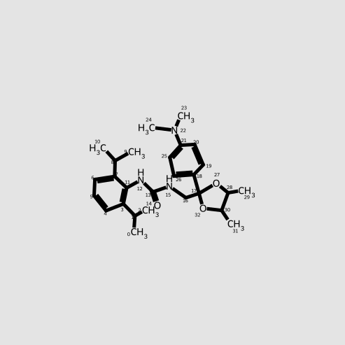 CC(C)c1cccc(C(C)C)c1NC(=O)NCC1(c2ccc(N(C)C)cc2)OC(C)C(C)O1